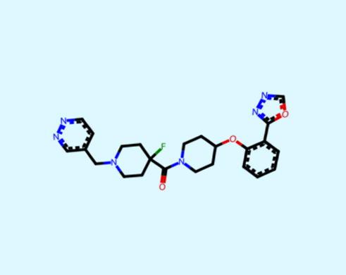 O=C(N1CCC(Oc2ccccc2-c2nnco2)CC1)C1(F)CCN(Cc2ccnnc2)CC1